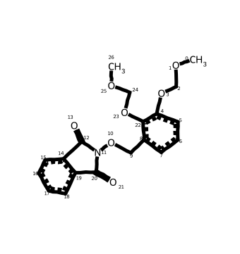 COCOc1cccc(CON2C(=O)c3ccccc3C2=O)c1OCOC